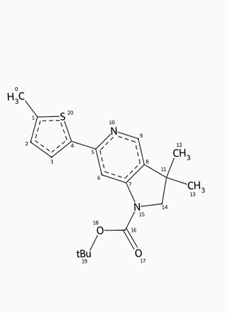 Cc1ccc(-c2cc3c(cn2)C(C)(C)CN3C(=O)OC(C)(C)C)s1